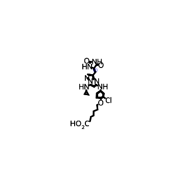 O=C(O)CCCCCCOc1ccc(Nc2cc(NC3CC3)n3ncc(/C=C4\NC(=O)NC4=O)c3n2)cc1Cl